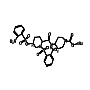 CC(C)(C)OC(=O)N1CCC(NC(=O)C2CC[C@H](OS(=O)(=O)c3ccccc3[N+](=O)[O-])CN2S(=O)(=O)c2ccccc2[N+](=O)[O-])CC1